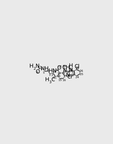 Cc1c(CC=CNC(N)=O)[nH]c(=O)c2c1ccc1nc(Nc3c(Cl)cccc3Cl)n(C)c12